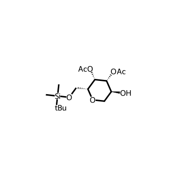 CC(=O)O[C@@H]1[C@H](OC(C)=O)[C@@H](O)CO[C@@H]1CO[Si](C)(C)C(C)(C)C